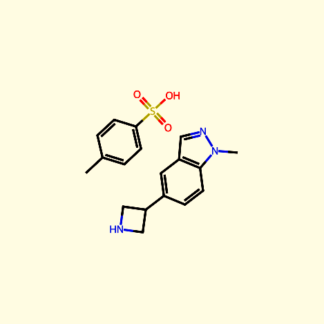 Cc1ccc(S(=O)(=O)O)cc1.Cn1ncc2cc(C3CNC3)ccc21